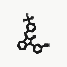 O=C1C(=Nc2cccc(C(F)(F)F)c2)c2ccccc2N1c1cccc(O)c1